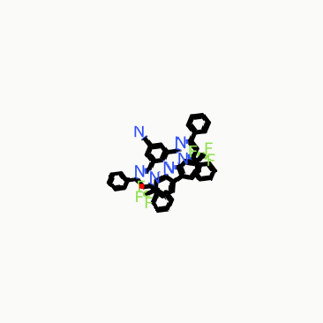 N#Cc1cc(-c2nc(-c3ccccc3)cc(-c3ccccc3)n2)c(-n2c3cc(C(F)(F)F)ccc3c3ccc(C(F)(F)F)cc32)c(-c2nc(-c3ccccc3)cc(-c3ccccc3)n2)c1